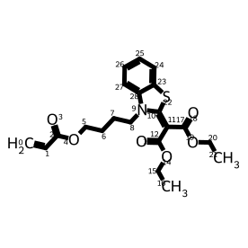 C=CC(=O)OCCCCN1C(=C(C(=O)OCC)C(=O)OCC)Sc2ccccc21